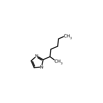 CCCCC(C)C1=NC=C[N]1